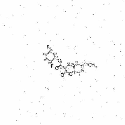 CCc1ccc2oc(=O)c(C(=O)Oc3cc(F)ccc3F)cc2c1